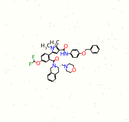 Cc1c(C(=O)Nc2ccc(OCc3ccccc3)cc2)cc(-c2ccc(OC(F)F)cc2C(=O)N2Cc3ccccc3C[C@H]2CN2CCOCC2)n1C